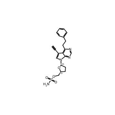 C#Cc1cn([C@H]2CC[C@@H](COS(N)(=O)=O)O2)c2ncnc(CCc3ccccc3)c12